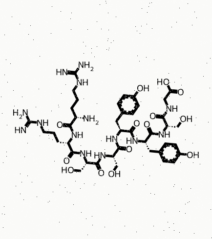 N=C(N)NCCC[C@H](NC(=O)[C@@H](N)CCCNC(=N)N)C(=O)N[C@@H](CO)C(=O)N[C@@H](CO)C(=O)N[C@@H](Cc1ccc(O)cc1)C(=O)N[C@@H](Cc1ccc(O)cc1)C(=O)N[C@@H](CO)C(=O)NCC(=O)O